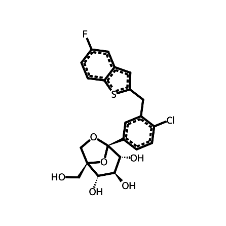 OC[C@@]12CO[C@@](c3ccc(Cl)c(Cc4cc5cc(F)ccc5s4)c3)(O1)[C@H](O)[C@@H](O)[C@@H]2O